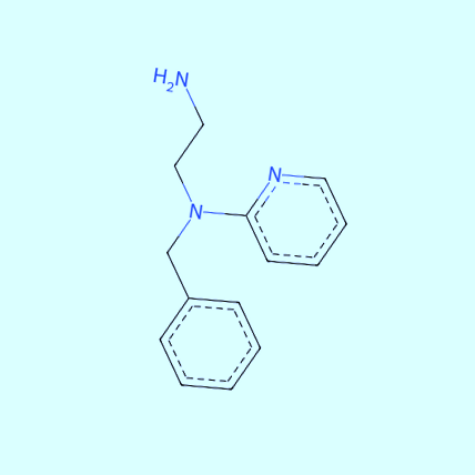 NCCN(Cc1ccccc1)c1ccccn1